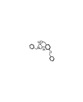 c1ccc(COc2ccc3c(c2)[C@H]2CN(Cc4ccccc4)C[C@@H]2OC3)cc1